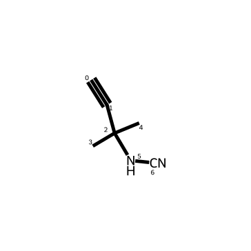 C#CC(C)(C)NC#N